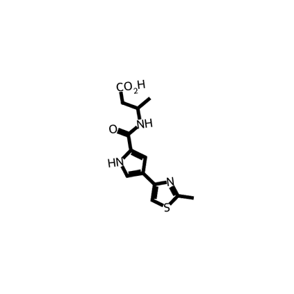 Cc1nc(-c2c[nH]c(C(=O)NC(C)CC(=O)O)c2)cs1